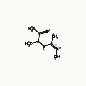 C/C(=N/O)SC(C)C(N)=O